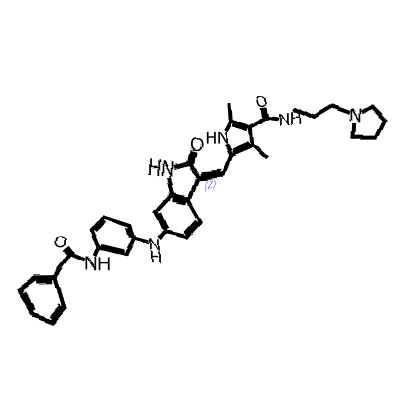 Cc1[nH]c(/C=C2\C(=O)Nc3cc(Nc4cccc(NC(=O)c5ccccc5)c4)ccc32)c(C)c1C(=O)NCCCN1CCCC1